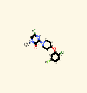 Cn1cc(Cl)nc(N2CCC(Oc3cc(F)ccc3Cl)CC2)c1=O